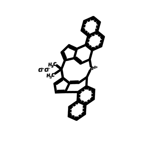 CC1(C)C2=CC=C3C2=C[CH]([Zr+2][CH]2C=C4C(=CC=C41)c1c2ccc2ccccc12)c1ccc2ccccc2c13.[Cl-].[Cl-]